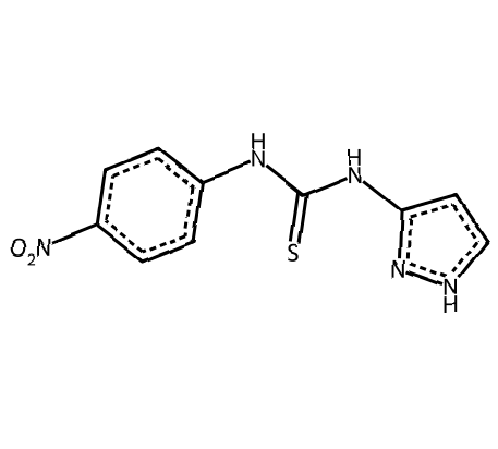 O=[N+]([O-])c1ccc(NC(=S)Nc2cc[nH]n2)cc1